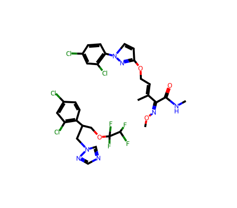 CNC(=O)C(=N/OC)/C(C)=C/COc1ccn(-c2ccc(Cl)cc2Cl)n1.FC(F)C(F)(F)OCC(Cn1cncn1)c1ccc(Cl)cc1Cl